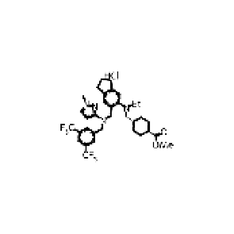 CCN(C[C@H]1CC[C@H](C(=O)OC)CC1)c1cc2c(cc1CN(Cc1cc(C(F)(F)F)cc(C(F)(F)F)c1)c1ccn(C)n1)CCC2.Cl